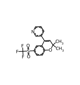 CC1(C)C=C(c2cccnc2)c2cc(S(=O)(=O)C(F)(F)F)ccc2O1